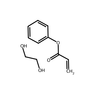 C=CC(=O)Oc1ccccc1.OCCO